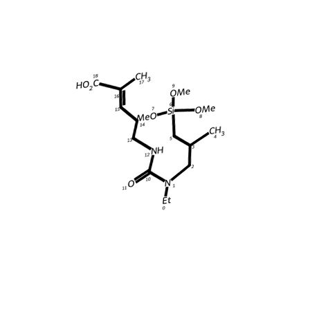 CCN(CC(C)C[Si](OC)(OC)OC)C(=O)NCCC=C(C)C(=O)O